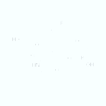 CCOc1cc(F)c2c(c1C(=O)[NH+]([O-])C1CC1)OB(O)CO2